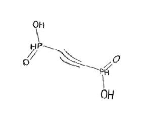 O=[PH](O)C#C[PH](=O)O